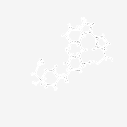 CC(C)n1ccc(-c2c[nH]c3nccc(Oc4c(F)cc(NC5=NC[C@](C)(CO)CO5)cc4F)c23)n1